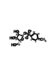 Cc1ccc(S(=O)(=O)O[C@@H]2O[C@H](CO)[C@@H](O)[C@H]2O)cc1